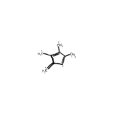 C=C1C=C(C)C(C)=C1C